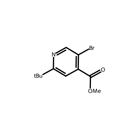 COC(=O)c1cc(C(C)(C)C)ncc1Br